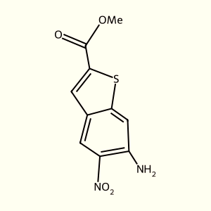 COC(=O)c1cc2cc([N+](=O)[O-])c(N)cc2s1